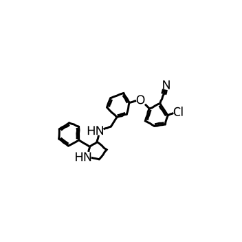 N#Cc1c(Cl)cccc1Oc1cccc(CNC2CCNC2c2ccccc2)c1